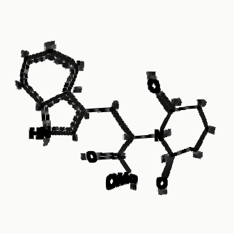 COC(=O)C(Cc1c[nH]c2ccccc12)N1C(=O)CCCC1=O